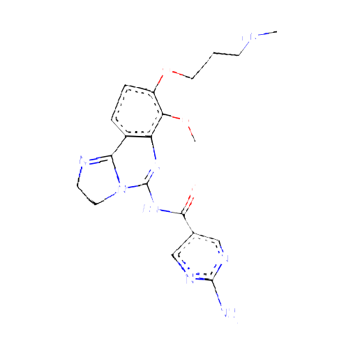 CNCCCOc1ccc2c(c1OC)N=C(NC(=O)c1cnc(N)nc1)N1CCN=C21